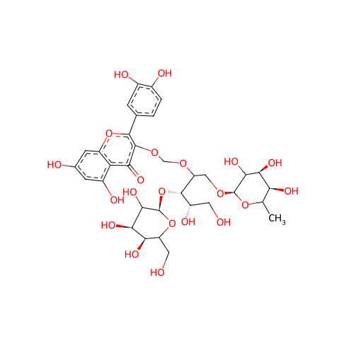 CC1O[C@@H](OCC(OCOc2c(-c3ccc(O)c(O)c3)oc3cc(O)cc(O)c3c2=O)[C@@H](O[C@H]2OC(CO)[C@@H](O)[C@@H](O)C2O)[C@@H](O)CO)C(O)[C@@H](O)[C@H]1O